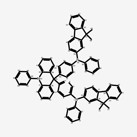 C=C(/C=C\C(=C/C)N(c1ccccc1)c1ccc2c(c1)C(C)(C)c1ccccc1-2)C1(c2ccc(N(c3ccccc3)c3ccc4c(c3)C(C)(C)c3ccccc3-4)cc2)c2ccccc2N(c2ccccc2)c2ccccc21